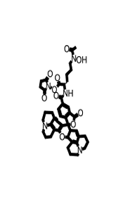 CC(=O)N(O)CCCC[C@H](NC(=O)c1ccc2c(c1)C(=O)OC21c2cc3c4c(c2OC2C5=C6C(=CC21)CCCN6CCC5)CCCN4CCC3)C(=O)ON1C(=O)CCC1=O